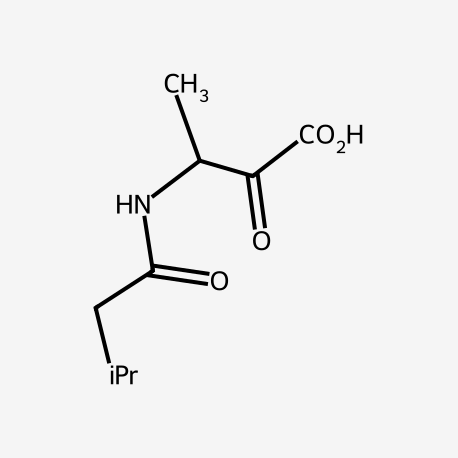 CC(C)CC(=O)NC(C)C(=O)C(=O)O